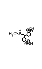 CCCPCCC(C1CCCC(S(=O)(=O)O)C1)C1CCCC(S(=O)(=O)O)C1